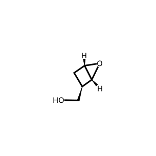 OC[C@H]1C[C@@H]2O[C@H]12